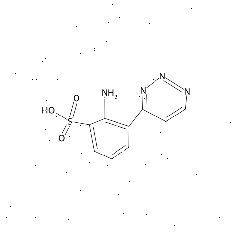 Nc1c(-c2ccnnn2)cccc1S(=O)(=O)O